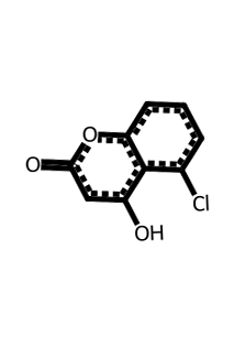 O=c1cc(O)c2c(Cl)cccc2o1